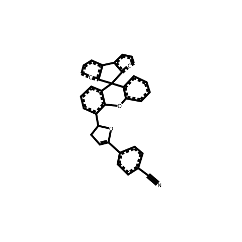 N#Cc1ccc(C2=CCC(c3cccc4c3Oc3ccccc3C43c4ccccc4-c4ccccc43)O2)cc1